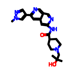 Cn1cc(-c2cc3cc(NC(=O)C4CCN(CC(C)(C)O)CC4)ncc3cn2)cn1